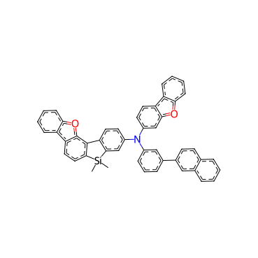 C[Si]1(C)c2cc(N(c3cccc(-c4ccc5ccccc5c4)c3)c3ccc4c(c3)oc3ccccc34)ccc2-c2c1ccc1c2oc2ccccc21